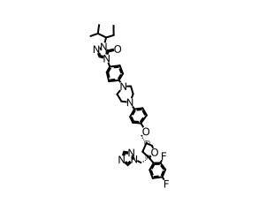 CCC(C(C)C)n1ncn(-c2ccc(N3CCN(c4ccc(OC[C@@H]5CO[C@@](Cn6cncn6)(c6ccc(F)cc6F)C5)cc4)CC3)cc2)c1=O